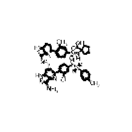 Cc1cc(S(=O)(=O)NC2(CO)CCCC2)ccc1-c1ccc2[nH]nc(N)c2n1.Cc1ccc(S(=O)(=O)Nc2ccc(-c3ccc4[nH]nc(N)c4n3)c(Cl)c2)cc1